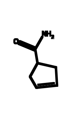 NC(=O)C1CC=CC1